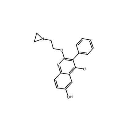 Oc1ccc2nc(OCCN3CC3)c(-c3ccccc3)c(Cl)c2c1